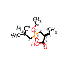 CC=C(CP(=O)(CC(C)C)OCC)C(=O)O